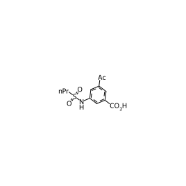 CCCS(=O)(=O)Nc1cc(C(C)=O)cc(C(=O)O)c1